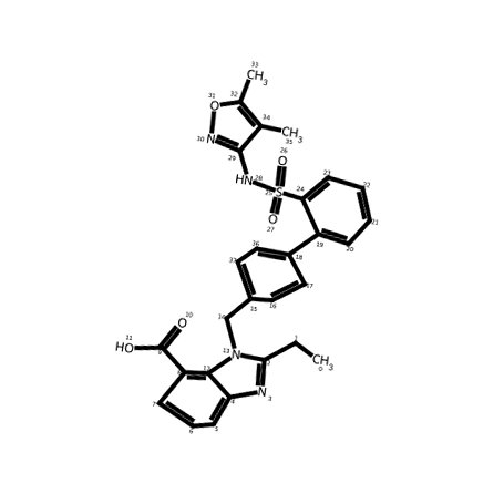 CCc1nc2cccc(C(=O)O)c2n1Cc1ccc(-c2ccccc2S(=O)(=O)Nc2noc(C)c2C)cc1